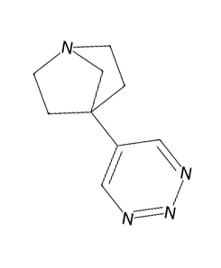 c1nnncc1C12CCN(CC1)C2